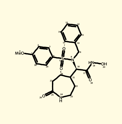 COc1ccc(S(=O)(=O)N(Cc2ccccc2)[C@@H](C(=O)NO)C2CCNC(=O)CC2)cc1